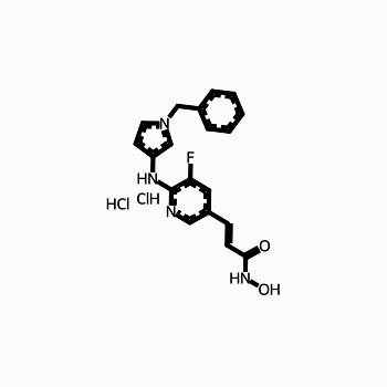 Cl.Cl.O=C(C=Cc1cnc(Nc2ccn(Cc3ccccc3)c2)c(F)c1)NO